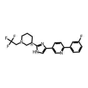 Fc1cccc(-c2ccc(-c3c[nH]c([C@@H]4CCCN(CC(F)(F)F)C4)n3)cn2)c1